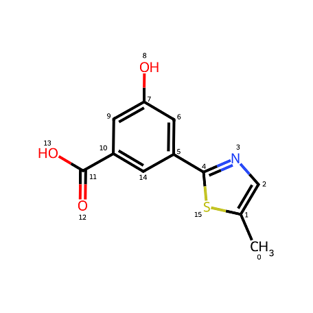 Cc1cnc(-c2cc(O)cc(C(=O)O)c2)s1